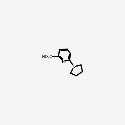 O=C(O)c1cccc(N2CCCC2)n1